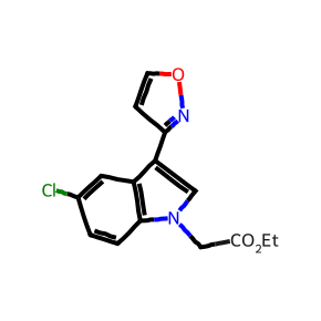 CCOC(=O)Cn1cc(-c2ccon2)c2cc(Cl)ccc21